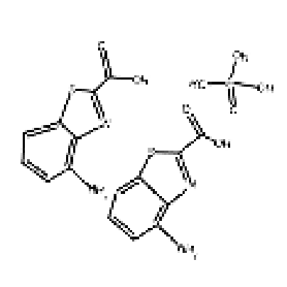 Nc1cccc2sc(C(=O)O)nc12.Nc1cccc2sc(C(=O)O)nc12.O=P(O)(O)O